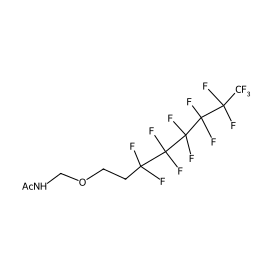 CC(=O)NCOCCC(F)(F)C(F)(F)C(F)(F)C(F)(F)C(F)(F)C(F)(F)F